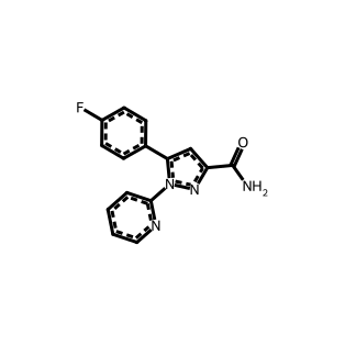 NC(=O)c1cc(-c2ccc(F)cc2)n(-c2ccccn2)n1